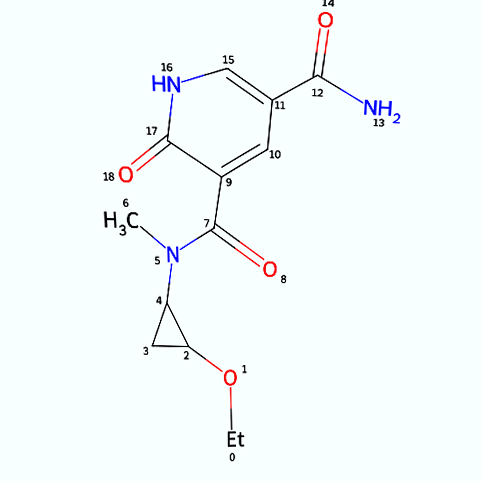 CCOC1CC1N(C)C(=O)c1cc(C(N)=O)c[nH]c1=O